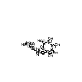 O=C(O)CN1CCN(CC(=O)O)CCN(CC(=O)O)CCN(CC(=O)O)C(Cc2ccc(NC(=S)NCCc3cn(CC(O)(OP(O)O)O[PH](=O)O)cn3)cc2)CN(CC(=O)O)CCN(CC(=O)O)CC1